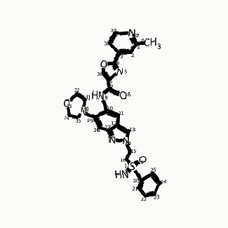 Cc1cc(-c2nc(C(=O)Nc3cc4cn(CCS(=N)(=O)c5ccccc5)nc4cc3N3CCOCC3)co2)ccn1